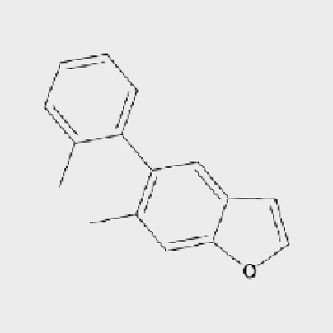 Cc1ccccc1-c1cc2ccoc2cc1C